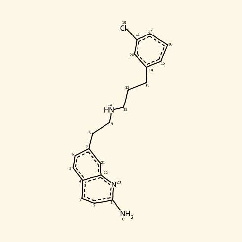 Nc1ccc2ccc(CCNCCCc3cccc(Cl)c3)cc2n1